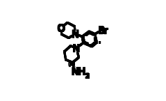 N[C@@H]1CCCN(c2c[c]c(Br)cc2N2CCOCC2)C1